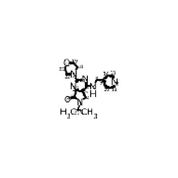 CC(C)N1Cc2c(NCc3ccncc3)nc(N3CCOCC3)nc2C1=O